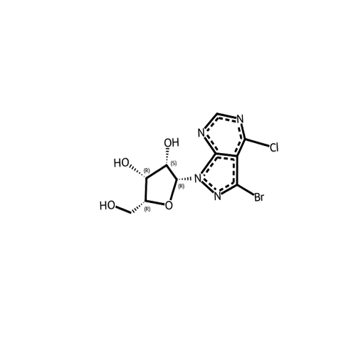 OC[C@H]1O[C@@H](n2nc(Br)c3c(Cl)ncnc32)[C@@H](O)[C@H]1O